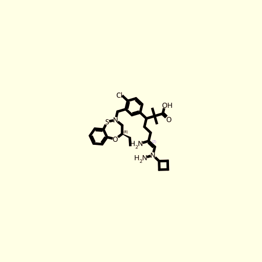 CC[C@@H]1CN(Cc2cc(C(CC/C(N)=C/N(N)C3CCC3)C(C)(C)C(=O)O)ccc2Cl)Sc2ccccc2O1